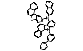 c1ccc(-c2cccc(-n3c4cccc(N(c5ccc6ccccc6c5)c5ccc6oc7ccc8ccccc8c7c6c5)c4c4ccc5ccccc5c43)c2)cc1